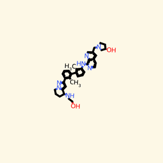 Cc1c(Nc2nccc3cc(CN4CC[C@@H](O)C4)cnc23)cccc1-c1cccc(-c2cc3n(n2)CCCC3NCCO)c1C